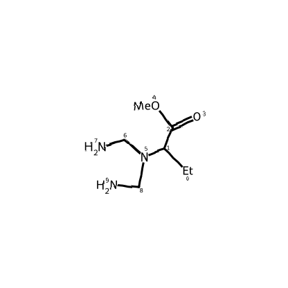 CCC(C(=O)OC)N(CN)CN